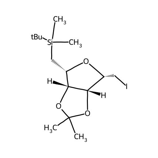 CC1(C)O[C@@H]2[C@H](O1)[C@H](C[Si](C)(C)C(C)(C)C)O[C@@H]2CI